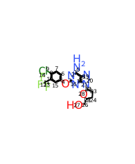 Nc1nc(Oc2ccc(Cl)c(C(F)(F)F)c2)nc2c1ncn2[C@H]1CC[C@@H](CO)O1